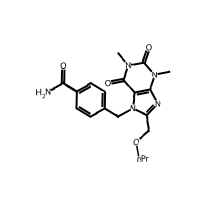 CCCOCc1nc2c(c(=O)n(C)c(=O)n2C)n1Cc1ccc(C(N)=O)cc1